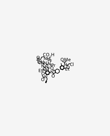 C#CCN1C(=O)COc2cc(F)c(N3C(=O)C4=C(CCCC4)C3=O)cc21.CCNc1nc(Cl)nc(NC(C)C)n1.CCc1cccc(C)c1N(C(=O)CCl)C(C)COC.CP(=O)(O)CCC(N)C(=O)O